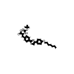 CCCCCCCOc1ccc(-c2csc(-c3ccc(CC(NC(=O)OC(C)(C)C)C(=O)O)cc3)n2)cc1